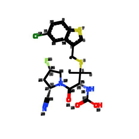 CC(C)(SCc1csc2ccc(Cl)cc12)[C@H](NC(=O)O)C(=O)N1C[C@@H](F)C[C@H]1C#N